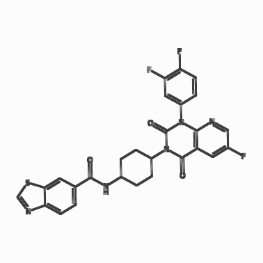 O=C(NC1CCC(n2c(=O)c3cc(F)cnc3n(-c3ccc(F)c(F)c3)c2=O)CC1)c1ccc2ncsc2c1